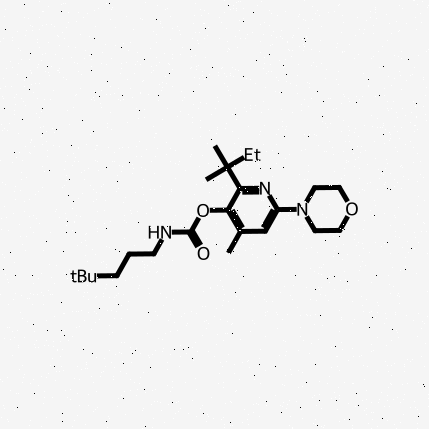 CCC(C)(C)c1nc(N2CCOCC2)cc(C)c1OC(=O)NCCCC(C)(C)C